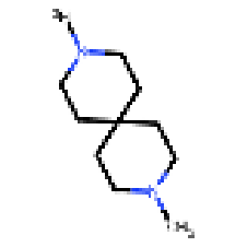 [2H]N1CCC2(CC1)CCN(C)CC2